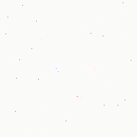 FCN(CP)CP